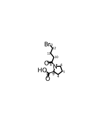 O=C(O)[C@@H]1CCCN1C(=O)CCCBr